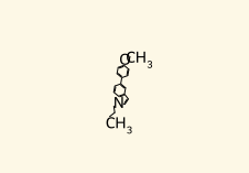 CCCCn1ccc2cc(-c3ccc(OC)cc3)ccc21